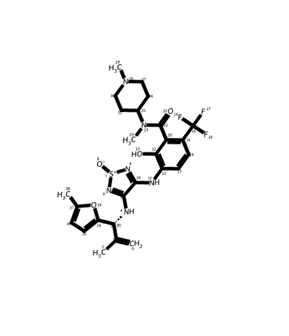 C=C(C)[C@@H](Nc1n[s+]([O-])nc1Nc1ccc(C(F)(F)F)c(C(=O)N(C)C2CCN(C)CC2)c1O)c1ccc(C)o1